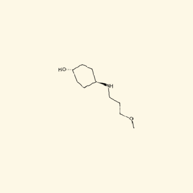 COCCCN[C@H]1CC[C@H](O)CC1